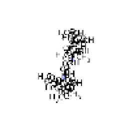 C=C(O)C(OC(C=O)OC1C(O)C(CO)O[C@H](C)C1NC(C)=O)C(/C=N/NC(=O)CC(=O)N/N=C/C(OC(C(=O)O)C(C=O)OC)OC1C(O)C(O)O[C@H](C)C1NC(C)=O)OC